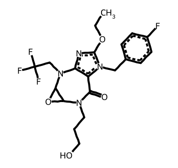 CCOc1nc2c(n1Cc1ccc(F)cc1)C(=O)N(CCCO)C1OC1N2CC(F)(F)F